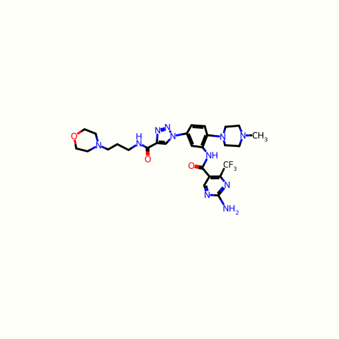 CN1CCN(c2ccc(-n3cc(C(=O)NCCCN4CCOCC4)nn3)cc2NC(=O)c2cnc(N)nc2C(F)(F)F)CC1